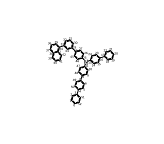 c1ccc(-c2ccc(-c3ccc(N(c4ccc(-c5ccccc5)cc4)c4ccc(-c5cccc(-c6cccc7ccccc67)c5)cc4)cc3)cc2)cc1